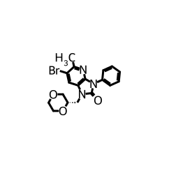 Cc1nc2c(cc1Br)n(C[C@H]1COCCO1)c(=O)n2-c1ccccc1